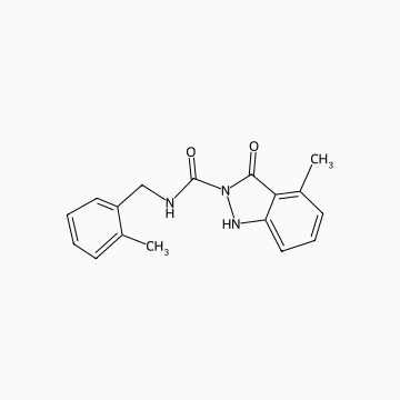 Cc1ccccc1CNC(=O)n1[nH]c2cccc(C)c2c1=O